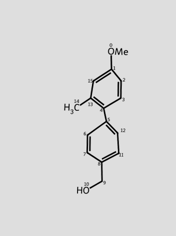 COc1ccc(-c2ccc(CO)cc2)c(C)c1